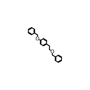 [c]1cc(CCOCc2ccccc2)ccc1OCc1ccccc1